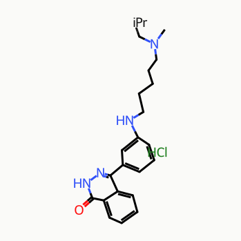 CC(C)CN(C)CCCCCNc1cccc(-c2n[nH]c(=O)c3ccccc23)c1.Cl